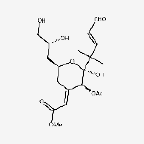 COC(=O)/C=C1\C[C@@H](C[C@@H](O)CO)O[C@@](O)(C(C)(C)/C=C/C=O)[C@H]1OC(C)=O